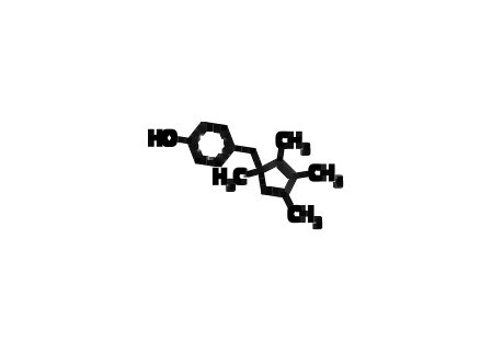 CC1=CC(C)(Cc2ccc(O)cc2)C(C)=C1C